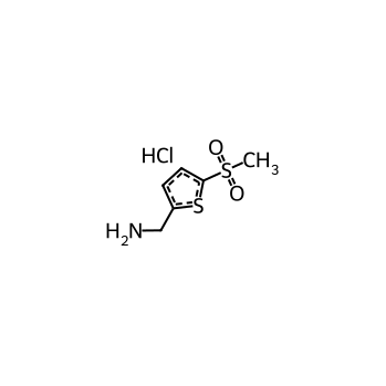 CS(=O)(=O)c1ccc(CN)s1.Cl